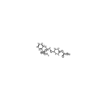 CC(C)(C)C(=O)ON1CCC(OCCCc2ccccc2S(C)(=O)=O)CC1